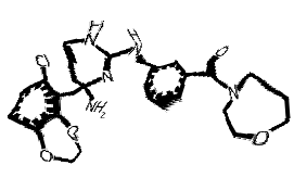 NC1(c2c(Cl)ccc3c2OCO3)C=CNC(Nc2cccc(C(=O)N3CCCOCC3)c2)=N1